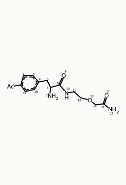 CC(=O)c1ccc(CC(N)C(=O)NCCOCC(N)=O)cc1